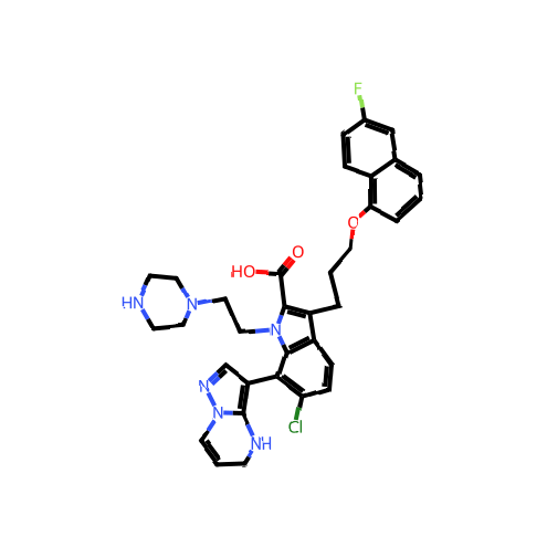 O=C(O)c1c(CCCOc2cccc3cc(F)ccc23)c2ccc(Cl)c(-c3cnn4c3NCC=C4)c2n1CCN1CCNCC1